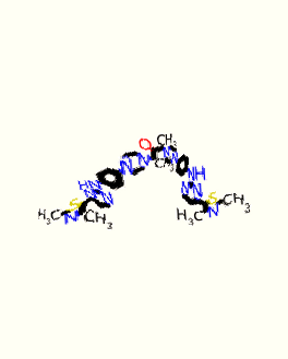 Cc1nc(C)c(-c2ccnc(Nc3ccc(N4CCN(C(C)C(=O)C(C)N5CCN(c6ccc(Nc7nccc(-c8sc(C)nc8C)n7)cc6)CC5)CC4)cc3)n2)s1